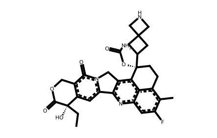 CC[C@@]1(O)C(=O)OCc2c1cc1n(c2=O)Cc2c-1nc1cc(F)c(C)c3c1c2[C@@](OC(N)=O)(C1CC2(CNC2)C1)CC3